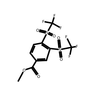 COC(=O)c1ccc(S(=O)(=O)C(F)(F)F)c(S(=O)(=O)C(F)(F)F)c1